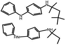 CC(C)(C)CC(C)(C)Nc1ccc(Nc2ccccc2)cc1.CCC(C)(C)Nc1ccc(Nc2ccccc2)cc1